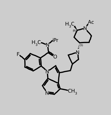 CC(=O)N1CC[C@H](N2CC(Cc3cn(-c4ccc(F)cc4C(=O)N(C)C(C)C)c4cncc(C)c34)C2)C[C@H]1C